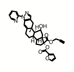 C#CCOC(=O)[C@@]1(OC(=O)c2ccco2)CC[C@H]2[C@@H]3CCC4=Cc5c(cnn5-c5ccccn5)C[C@]4(C)[C@H]3[C@@H](O)C[C@@]21C